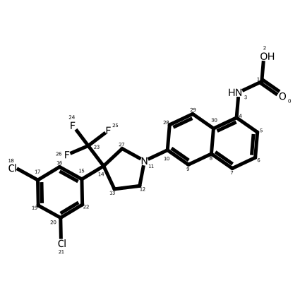 O=C(O)Nc1cccc2cc(N3CCC(c4cc(Cl)cc(Cl)c4)(C(F)(F)F)C3)ccc12